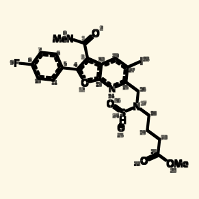 CNC(=O)c1c(-c2ccc(F)cc2)oc2nc(CN(CCCC(=O)OC)[SH](=O)=O)c(I)cc12